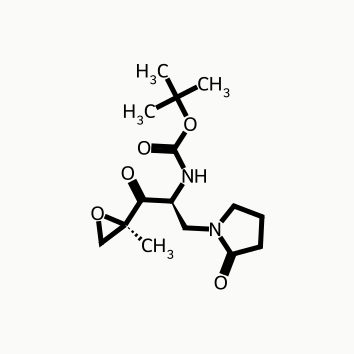 CC(C)(C)OC(=O)N[C@@H](CN1CCCC1=O)C(=O)[C@@]1(C)CO1